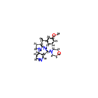 C=C(C1=C(/N=C(\C)N2CCOCC2)N(c2ccncc2)CC1)c1cccc(OC)c1